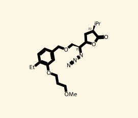 CCc1ccc(COC[C@H](N=[N+]=[N-])C2C[C@@H](C(C)C)C(=O)O2)cc1OCCCOC